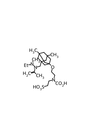 C=C(C)N(CC12CC3(C)CC(C)(C1)CC(OCCN(CCS(=O)(=O)O)C(=O)O)(C3)C2)N(C)CC